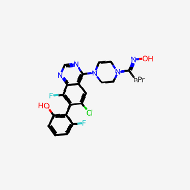 CCC/C(=N\O)N1CCN(c2ncnc3c(F)c(-c4c(O)cccc4F)c(Cl)cc23)CC1